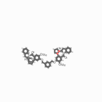 COc1cc2c(cc1OCc1cccc(COc3cc4c(cc3OC)C(=O)N3c5ccccc5C[C@H]3C35CCCC43NC5)c1)C13CCC(CN1)(C3)[C@@H]1Cc3ccccc3N1C2=O